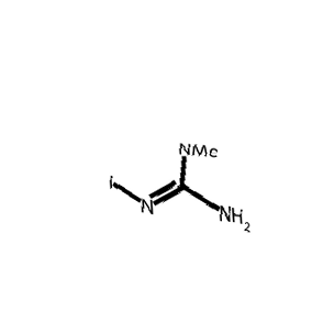 CN/C(N)=N\I